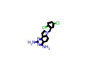 Nc1nc(N)c2ccc3c(ccn3Cc3cc(Cl)ccc3Cl)c2n1